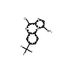 Bc1cnc2c(Cl)nc3cc(C(F)(F)F)ccc3n12